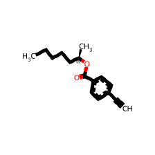 C#Cc1ccc(C(=O)O[C@H](C)CCCCC)cc1